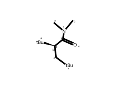 CN(C)C(=O)[C@@H](CC(C)(C)C)C(C)(C)C